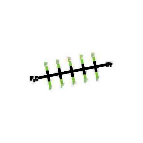 [CH2]C(C)C(F)(F)C(F)(F)C(F)(F)C(F)(F)C(F)(F)C(F)(F)F